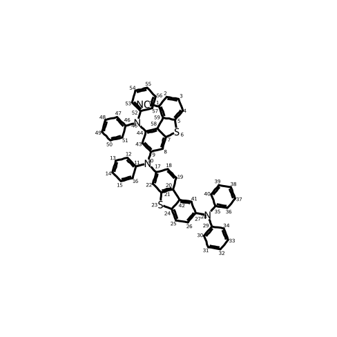 N#Cc1cccc2sc3cc(N(c4ccccc4)c4ccc5c(c4)sc4ccc(N(c6ccccc6)c6ccccc6)cc45)cc(N(c4ccccc4)c4ccccc4)c3c12